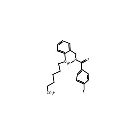 CC(C)N(Cc1ccccc1OCCCCCC(=O)O)C(=O)c1ccc(F)cc1